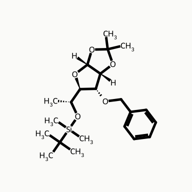 C[C@@H](O[Si](C)(C)C(C)(C)C)[C@H]1O[C@@H]2OC(C)(C)O[C@@H]2[C@@H]1OCc1ccccc1